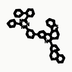 c1ccc(-c2nc(-c3cccc(-c4ccc5c(c4)nc(-c4ccc6c(ccc7ccccc76)c4)c4ccc6sc7ccccc7c6c45)c3)nc(-c3ccccc3-c3ccccc3)n2)cc1